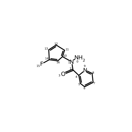 NN(C(=O)c1ccccn1)c1cccc(F)c1